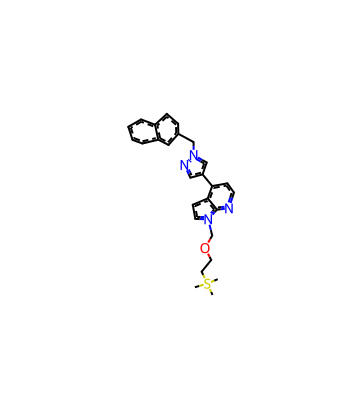 CS(C)(C)CCOCn1ccc2c(-c3cnn(Cc4ccc5ccccc5c4)c3)ccnc21